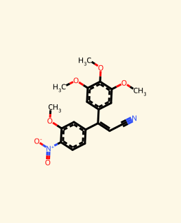 COc1cc(C(=CC#N)c2cc(OC)c(OC)c(OC)c2)ccc1[N+](=O)[O-]